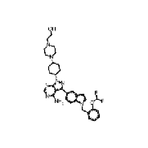 Nc1ncnc2c1c(-c1ccc3c(ccn3Cc3ccccc3OC(F)F)c1)nn2[C@H]1CC[C@@H](N2CCN(CCO)CC2)CC1